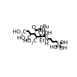 CCCCNC(=O)[C@@H]([C@H](CC(=O)O)C(=O)O)[C@H](C(=O)O)[C@@](CC)(C(=O)O)C(=O)NCCC[Si](O)(O)O